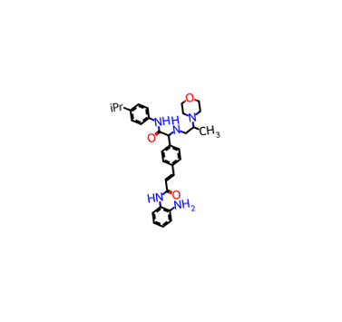 CC(C)c1ccc(NC(=O)C(NCC(C)N2CCOCC2)c2ccc(C=CC(=O)Nc3ccccc3N)cc2)cc1